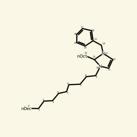 CCCCCCCCCCCCCCCCCCCN1C=CN(Cc2ccccc2)C1CCCCCCCC